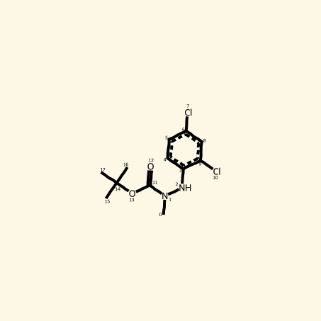 CN(Nc1ccc(Cl)cc1Cl)C(=O)OC(C)(C)C